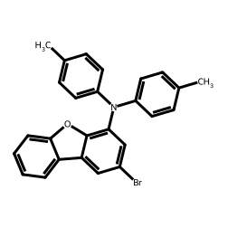 Cc1ccc(N(c2ccc(C)cc2)c2cc(Br)cc3c2oc2ccccc23)cc1